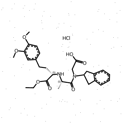 CCOC(=O)[C@H](CCc1ccc(OC)c(OC)c1)N[C@@H](C)C(=O)N(CC(=O)O)C1Cc2ccccc2C1.Cl